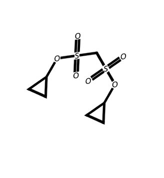 O=S(=O)(CS(=O)(=O)OC1CC1)OC1CC1